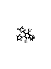 Brc1c(-c2nccs2)c(-c2nccs2)c(Br)c2snnc12